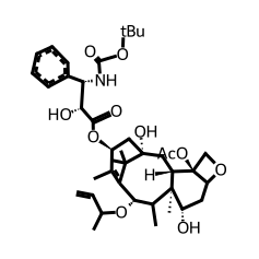 C=CC(C)O[C@@H]1C2=C(C)[C@@H](OC(=O)[C@H](O)[C@@H](NC(=O)OC(C)(C)C)c3ccccc3)C[C@@](O)(C[C@H]3[C@](C)(C1C)[C@@H](O)CC1OC[C@]13OC(C)=O)C2(C)C